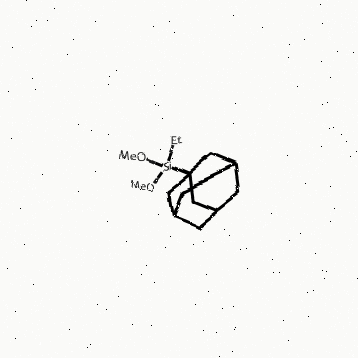 CC[Si](OC)(OC)C12CC3CC(CC(C3)C1)C2